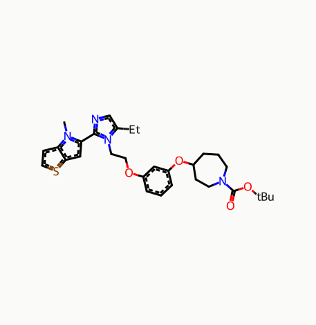 CCc1cnc(-c2cc3sccc3n2C)n1CCOc1cccc(OC2CCCN(C(=O)OC(C)(C)C)CC2)c1